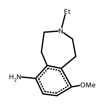 CCN1CCc2c(N)ccc(OC)c2CC1